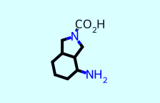 NC1CCCC2CN(C(=O)O)CC12